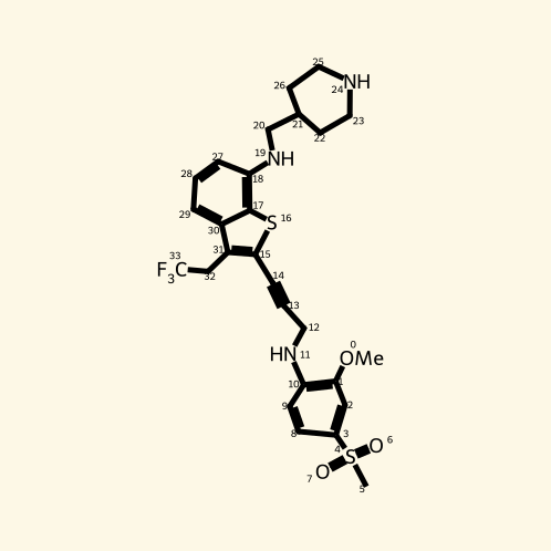 COc1cc(S(C)(=O)=O)ccc1NCC#Cc1sc2c(NCC3CCNCC3)cccc2c1CC(F)(F)F